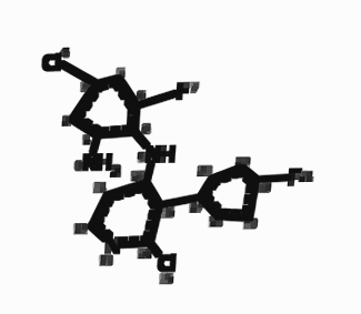 Nc1cc(Cl)cc(F)c1Nc1ccnc(Cl)c1-c1ccc(F)cc1